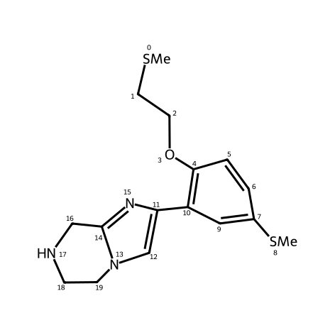 CSCCOc1ccc(SC)cc1-c1cn2c(n1)CNCC2